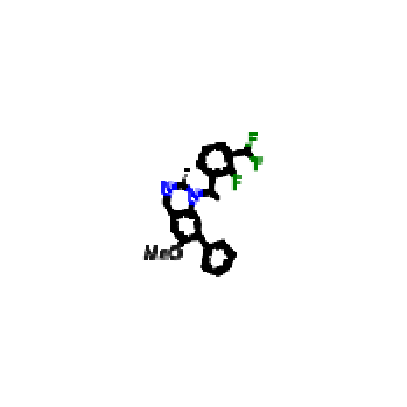 COc1cc2c(cc1-c1ccccc1)N(C(C)c1cccc(C(F)F)c1F)[C@@H](C)N=C2